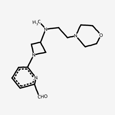 CN(CCN1CCOCC1)C1CN(c2cccc(C=O)n2)C1